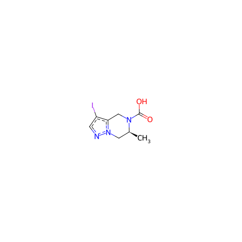 C[C@H]1Cn2ncc(I)c2CN1C(=O)O